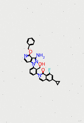 Nc1nn(-c2cccc(-n3ccc4cc(C5CC5)cc(F)c4c3=O)c2CO)c2ccnc(OCc3ccccc3)c12